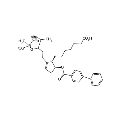 CCCCC(C)C(CCC1=CC[C@H](OC(=O)c2ccc(-c3ccccc3)cc2)[C@@H]1CCCCCCC(=O)O)O[Si](C)(C)C(C)(C)C